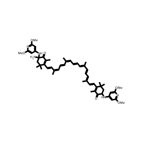 COc1cc(NC2CC(C)(C)C(C=CC(C)=CC=CC(C)=CC=CC=C(C)C=CC=C(C)C=CC3=C(C)C(=O)C(N)(Nc4cc(OC)nc(OC)c4)CC3(C)C)=C(C)C2=O)cc(OC)n1